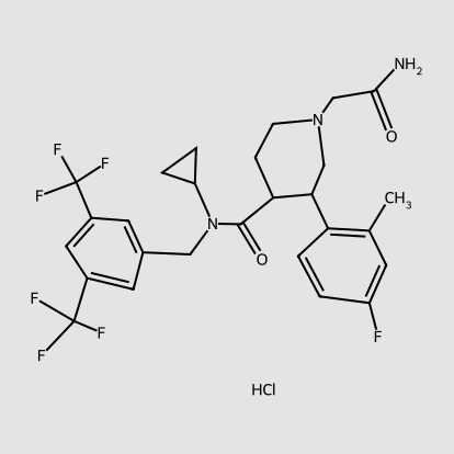 Cc1cc(F)ccc1C1CN(CC(N)=O)CCC1C(=O)N(Cc1cc(C(F)(F)F)cc(C(F)(F)F)c1)C1CC1.Cl